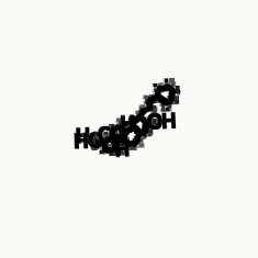 C[C@]12CC[C@@H]3c4cc(C/C=C/c5ccccc5)c(O)cc4CC[C@H]3[C@@H]1CC[C@@H]2O